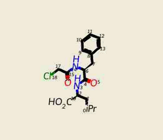 CC(C)C[C@H](NC(=O)[C@H](Cc1ccccc1)NC(=O)CCl)C(=O)O